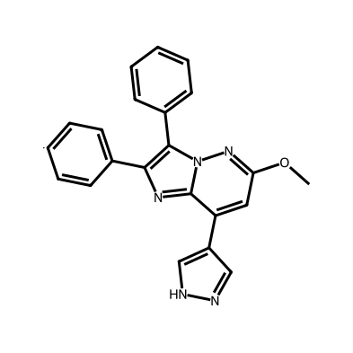 COc1cc(-c2cn[nH]c2)c2nc(-c3cc[c]cc3)c(-c3ccccc3)n2n1